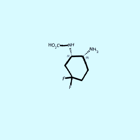 N[C@@H]1CCC(F)(F)C[C@@H]1NC(=O)O